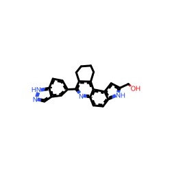 OCc1cc2c(ccc3nc(-c4ccc5[nH]ncc5c4)c4c(c32)CCCC4)[nH]1